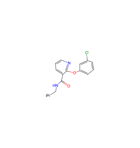 CC(C)CNC(=O)c1cccnc1Oc1cccc(Cl)c1